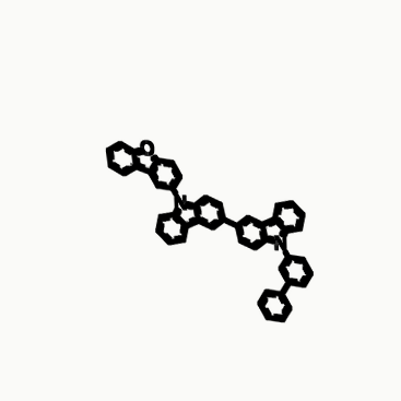 c1ccc(-c2cccc(-n3c4ccccc4c4cc(-c5ccc6c(c5)c5ccccc5n6-c5ccc6oc7ccccc7c6c5)ccc43)c2)cc1